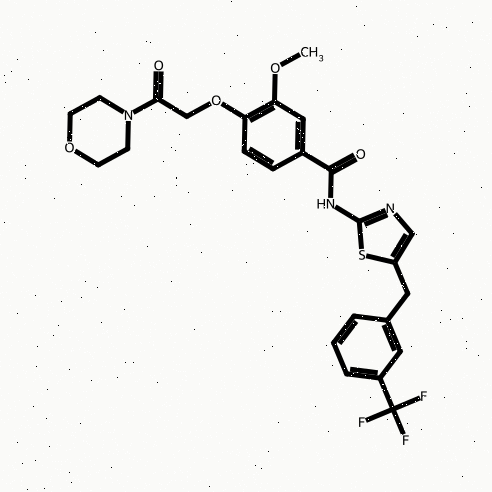 COc1cc(C(=O)Nc2ncc(Cc3cccc(C(F)(F)F)c3)s2)ccc1OCC(=O)N1CCOCC1